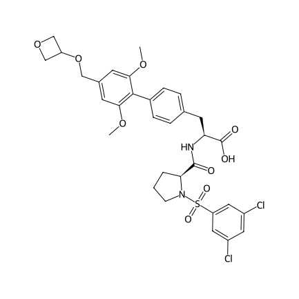 COc1cc(COC2COC2)cc(OC)c1-c1ccc(C[C@H](NC(=O)[C@@H]2CCCN2S(=O)(=O)c2cc(Cl)cc(Cl)c2)C(=O)O)cc1